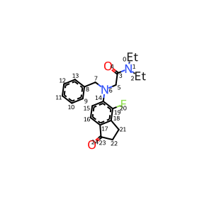 CCN(CC)C(=O)CN(Cc1ccccc1)c1ccc2c(c1F)CCC2=O